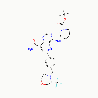 CC(C)(C)OC(=O)N1CCC[C@H](Nc2ncnc3c(C(N)=O)cc(-c4ccc(CN5CCOCC5C(F)(F)F)cc4)nc23)C1